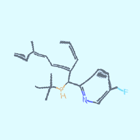 C=C\C(C)=C/C=C(\C=C/C)C(PC(C)(C)C)c1ccc(F)cn1